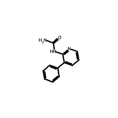 NC(=O)Nc1ncccc1-c1ccccc1